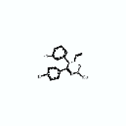 C=CC[C@H](/C(=N\[S+]([O-])C(C)(C)C)c1ccc(Cl)cc1)c1cccc(Cl)c1